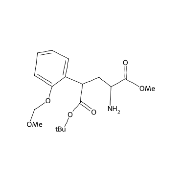 COCOc1ccccc1C(CC(N)C(=O)OC)C(=O)OC(C)(C)C